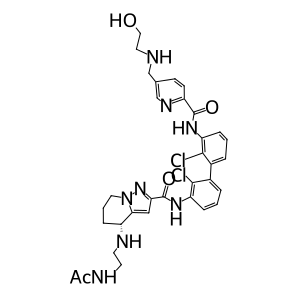 CC(=O)NCCN[C@@H]1CCCn2nc(C(=O)Nc3cccc(-c4cccc(NC(=O)c5ccc(CNCCO)cn5)c4Cl)c3Cl)cc21